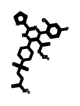 COC(=O)C1=C(C2CCN(S(=O)(=O)CCC(N)=O)CC2)NC(c2nccs2)=NC1c1ccc(F)cc1Cl